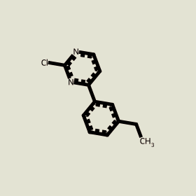 CCc1cccc(-c2ccnc(Cl)n2)c1